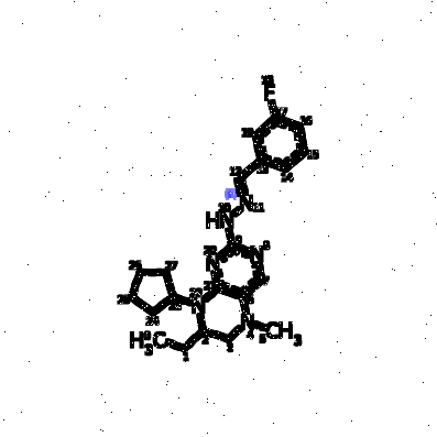 CCC1CN(C)c2cnc(N/N=C/c3cccc(F)c3)nc2N1C1CCCC1